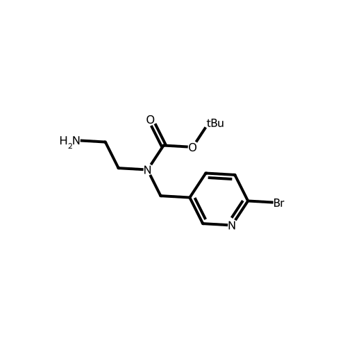 CC(C)(C)OC(=O)N(CCN)Cc1ccc(Br)nc1